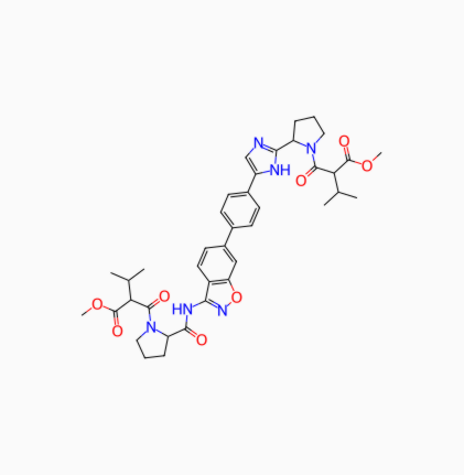 COC(=O)C(C(=O)N1CCCC1C(=O)Nc1noc2cc(-c3ccc(-c4cnc(C5CCCN5C(=O)C(C(=O)OC)C(C)C)[nH]4)cc3)ccc12)C(C)C